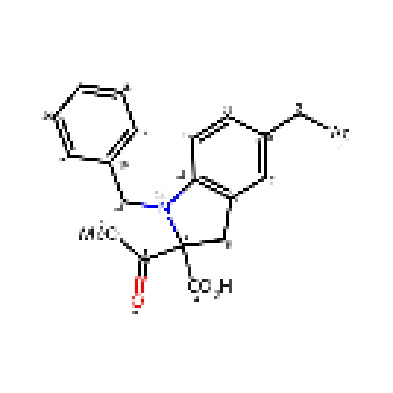 COC(=O)C1(C(=O)O)Cc2cc(CC(C)=O)ccc2N1Cc1ccccc1